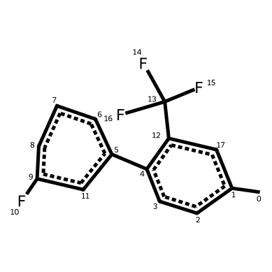 Cc1ccc(-c2cccc(F)c2)c(C(F)(F)F)c1